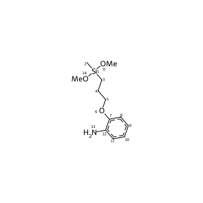 CO[Si](C)(CCCOc1ccccc1N)OC